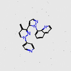 C=C1C=CN(c2ccncc2)N=C1c1ccnn1-c1cccc2cccnc12